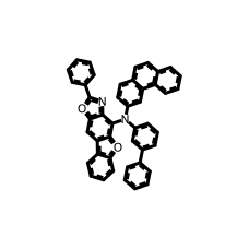 c1ccc(-c2cccc(N(c3ccc4ccc5ccccc5c4c3)c3c4nc(-c5ccccc5)oc4cc4c3oc3ccccc34)c2)cc1